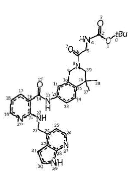 CC(C)(C)OC(=O)NCC(=O)N1Cc2cc(NC(=O)c3cccnc3NCc3ccnc4[nH]ccc34)ccc2C(C)(C)C1